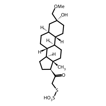 COC[C@@]1(O)CC[C@H]2[C@@H](CC[C@@H]3[C@@H]2CC[C@]2(C)[C@@H](C(=O)CSS(=O)(=O)O)CC[C@@H]32)C1